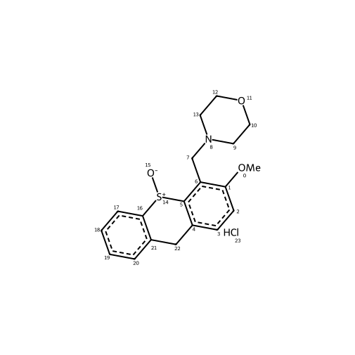 COc1ccc2c(c1CN1CCOCC1)[S+]([O-])c1ccccc1C2.Cl